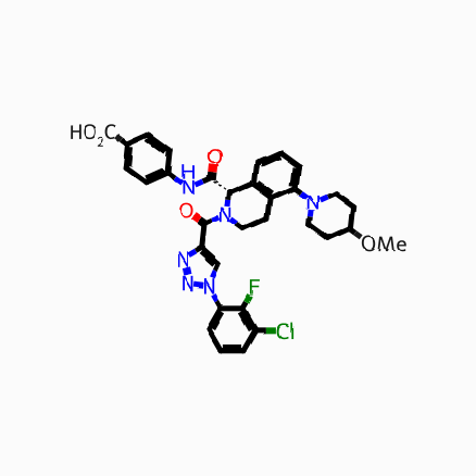 COC1CCN(c2cccc3c2CCN(C(=O)c2cn(-c4cccc(Cl)c4F)nn2)[C@@H]3C(=O)Nc2ccc(C(=O)O)cc2)CC1